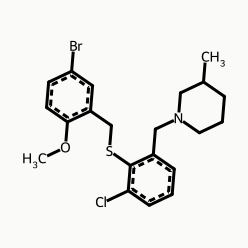 COc1ccc(Br)cc1CSc1c(Cl)cccc1CN1CCCC(C)C1